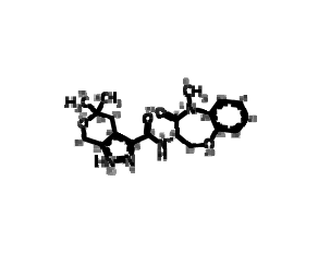 CN1C(=O)[C@@H](NC(=O)c2n[nH]c3c2CC(C)(C)OC3)COc2ccccc21